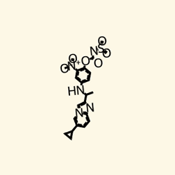 CC(Nc1ccc(OC(=O)N=S(=O)=O)c([N+](=O)[O-])c1)c1cn2cc(C3CC3)ccc2n1